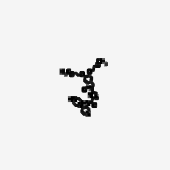 COCCOc1cc2c(cc1OCCOC)C(=O)N(c1csc(C(=O)Nc3cnccc3N3CCNCC3)n1)C2